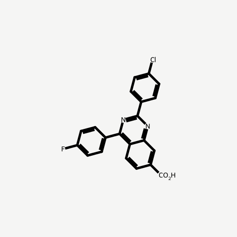 O=C(O)c1ccc2c(-c3ccc(F)cc3)nc(-c3ccc(Cl)cc3)nc2c1